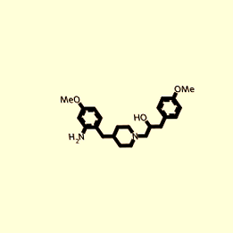 COc1ccc(CC(O)CN2CCC(Cc3ccc(OC)cc3N)CC2)cc1